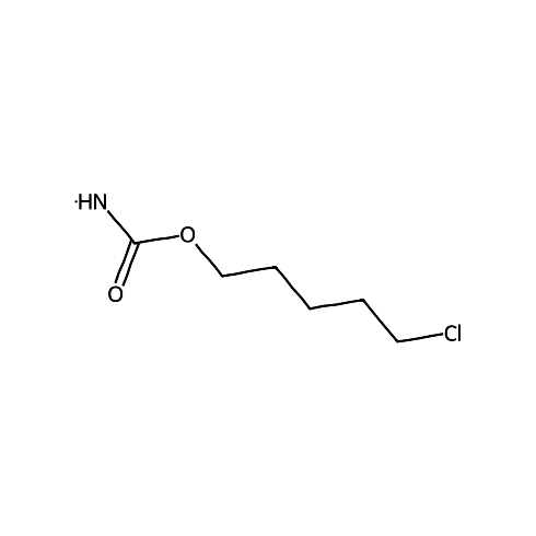 [NH]C(=O)OCCCCCCl